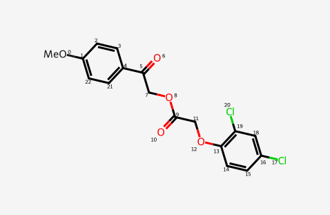 COc1ccc(C(=O)COC(=O)COc2ccc(Cl)cc2Cl)cc1